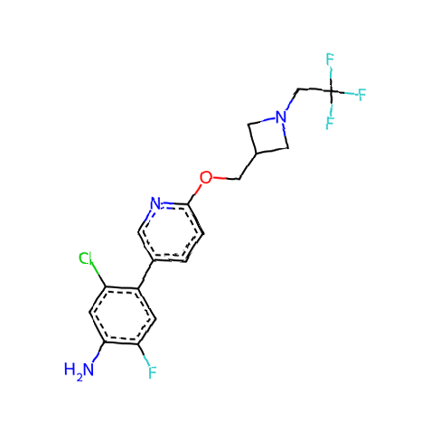 Nc1cc(Cl)c(-c2ccc(OCC3CN(CC(F)(F)F)C3)nc2)cc1F